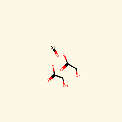 O=C([O-])CO.O=C([O-])CO.[O]=[Zr+2]